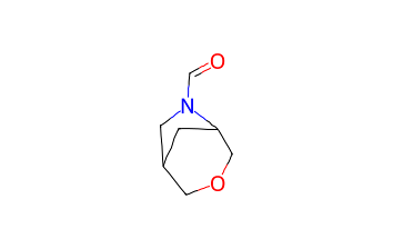 O=CN1CC2COCC1C2